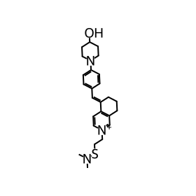 CN(C)SCC[n+]1ccc2c(c1)CCC/C2=C\c1ccc(N2CCC(O)CC2)cc1